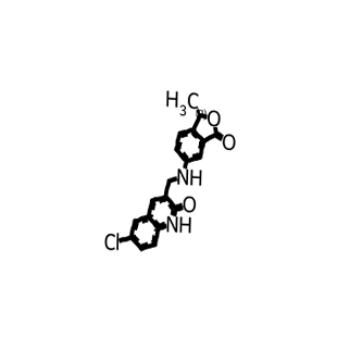 C[C@H]1OC(=O)c2cc(NCc3cc4cc(Cl)ccc4[nH]c3=O)ccc21